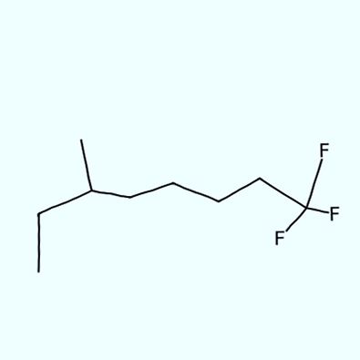 CCC(C)CCCCC(F)(F)F